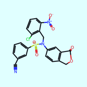 N#Cc1cccc(S(=O)(=O)N(Cc2c(Cl)cccc2[N+](=O)[O-])c2ccc3c(c2)C(=O)OC3)c1